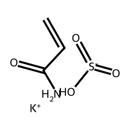 C=CC(N)=O.O=[S-](=O)O.[K+]